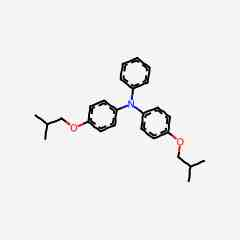 CC(C)COc1ccc(N(c2ccccc2)c2ccc(OCC(C)C)cc2)cc1